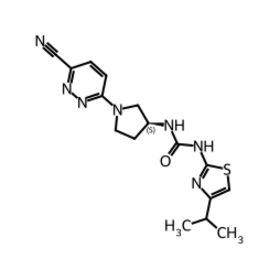 CC(C)c1csc(NC(=O)N[C@H]2CCN(c3ccc(C#N)nn3)C2)n1